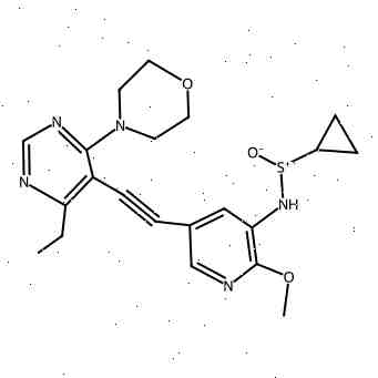 CCc1ncnc(N2CCOCC2)c1C#Cc1cnc(OC)c(N[S+]([O-])C2CC2)c1